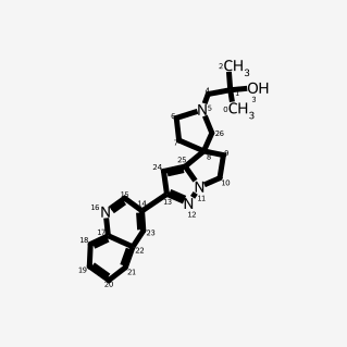 CC(C)(O)CN1CCC2(CCn3nc(-c4cnc5ccccc5c4)cc32)C1